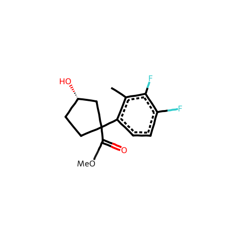 COC(=O)C1(c2ccc(F)c(F)c2C)CC[C@H](O)C1